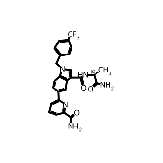 C[C@H](NC(=O)c1cn(Cc2ccc(C(F)(F)F)cc2)c2ccc(-c3cccc(C(N)=O)n3)cc12)C(N)=O